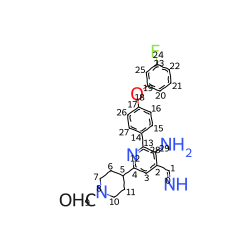 N=Cc1cc(C2CCN(C=O)CC2)nc(-c2ccc(Oc3cccc(F)c3)cc2)c1N